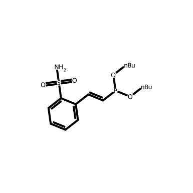 CCCCOP(C=Cc1ccccc1S(N)(=O)=O)OCCCC